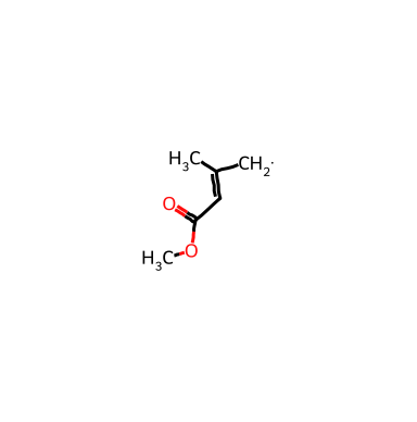 [CH2]/C(C)=C/C(=O)OC